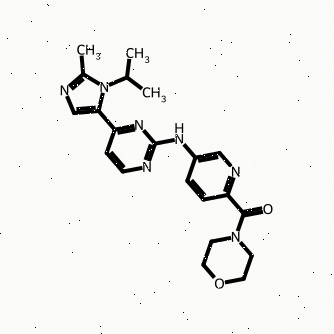 Cc1ncc(-c2ccnc(Nc3ccc(C(=O)N4CCOCC4)nc3)n2)n1C(C)C